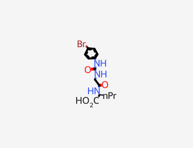 CCC[C@H](NC(=O)CNC(=O)Nc1ccc(Br)cc1)C(=O)O